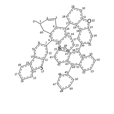 CC1C=Cc2c(c(-c3ccc4c(c3)sc3ccccc34)c3ccccc3c2-c2cccc3oc4ccc(-c5c6ccccc6c(-c6ccccc6)c6ccccc56)cc4c23)C1